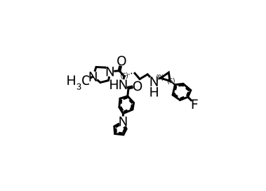 CN1CCN(C(=O)[C@H](CCCN[C@@H]2C[C@H]2c2ccc(F)cc2)NC(=O)c2ccc(-n3cccc3)cc2)CC1